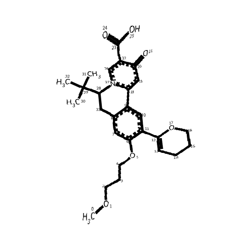 COCCCOc1cc2c(cc1C1=CCCCO1)-c1cc(=O)c(C(=O)O)cn1C(C(C)(C)C)C2